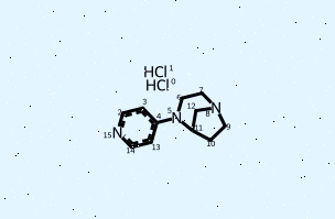 Cl.Cl.c1cc(N2CCN3CCC2C3)ccn1